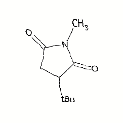 CN1C(=O)CC(C(C)(C)C)C1=O